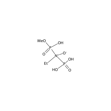 CC[N+]([O-])(P(=O)(O)O)P(=O)(O)OC